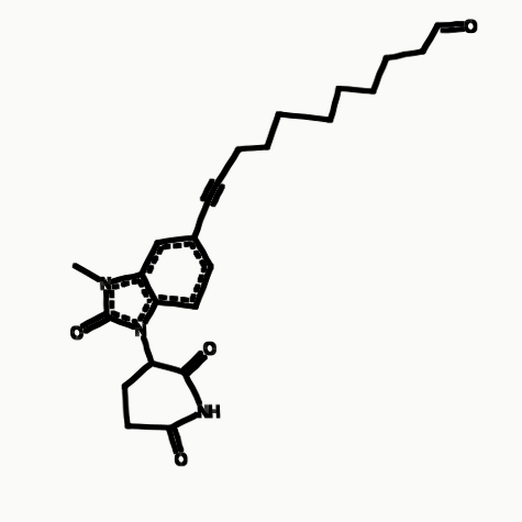 Cn1c(=O)n(C2CCC(=O)NC2=O)c2ccc(C#CCCCCCCCCC=O)cc21